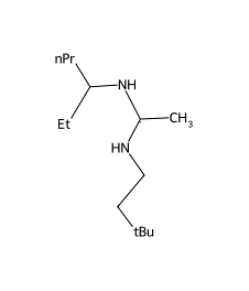 CCCC(CC)N[C](C)NCCC(C)(C)C